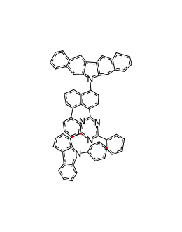 c1ccc(-c2nc(-c3ccc(-n4c5cc6ccccc6cc5c5cc6ccccc6cc54)c4cccc(-c5ccccc5)c34)nc(-c3cccc4c5ccccc5n(-c5ccccc5)c34)n2)cc1